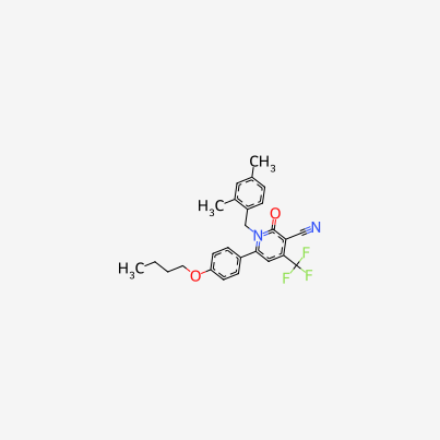 CCCCOc1ccc(-c2cc(C(F)(F)F)c(C#N)c(=O)n2Cc2ccc(C)cc2C)cc1